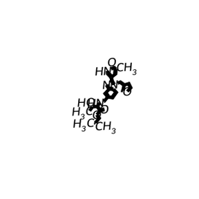 Cc1cc(-c2nc3cc(CNC(C(=O)OCC(C)C)C(C)O)ccc3n2CC2CCOC2)c[nH]c1=O